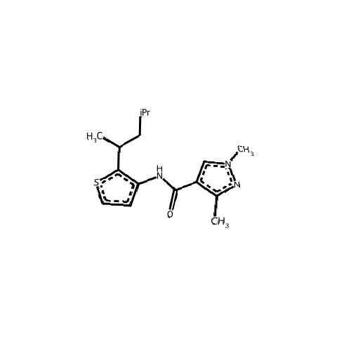 Cc1nn(C)cc1C(=O)Nc1ccsc1C(C)CC(C)C